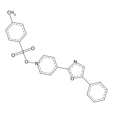 Cc1ccc(S(=O)(=O)O[n+]2ccc(-c3ncc(-c4ccccc4)o3)cc2)cc1